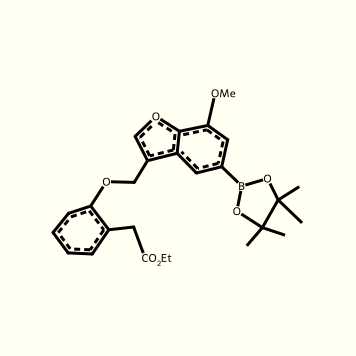 CCOC(=O)Cc1ccccc1OCc1coc2c(OC)cc(B3OC(C)(C)C(C)(C)O3)cc12